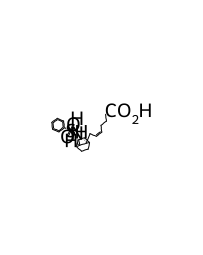 O=C(O)CCC/C=C\C[C@H]1C2CCC(CC2)[C@@H]1NS(=O)(=O)c1ccccc1